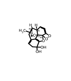 CN1CC[C@]23C4=C5O[C@@]26OOC6=C=C[C@H]3[C@H]1CC4=CCC5(O)O